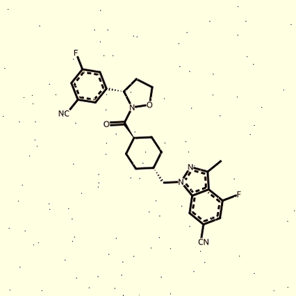 Cc1nn(C[C@H]2CC[C@H](C(=O)N3OCC[C@H]3c3cc(F)cc(C#N)c3)CC2)c2cc(C#N)cc(F)c12